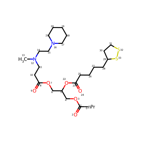 CCCC(=O)OCC(COC(=O)CCN(C)CCN1CCCCC1)OC(=O)CCCCC1CCSS1